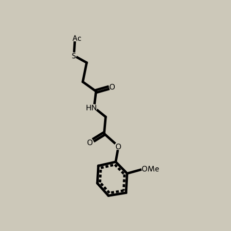 COc1ccccc1OC(=O)CNC(=O)CCSC(C)=O